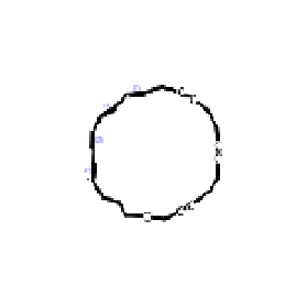 [C]1=C/C=C\C=C\C=C\CCCCCCCCCCCCCCCC/1